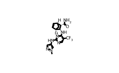 Cn1cc(Nc2ncc(C(F)(F)F)c(N[C@H]3[C@@H](C(N)=O)[C@@H]4C=C[C@H]3C4)n2)cn1